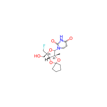 C[C@@]12OC3(CCCC3)O[C@@H]1[C@](CO)(CF)OC2n1ccc(=O)[nH]c1=O